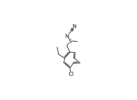 CCC1=C(C/S(C)=N/C#N)/C=C/C=C/C(Cl)=C\1